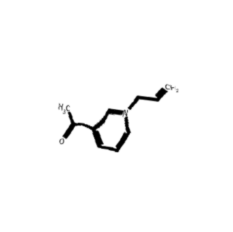 C=CCN1C=CC=C(C(C)=O)C1